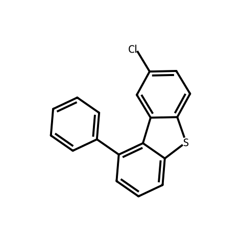 Clc1ccc2sc3cccc(-c4ccccc4)c3c2c1